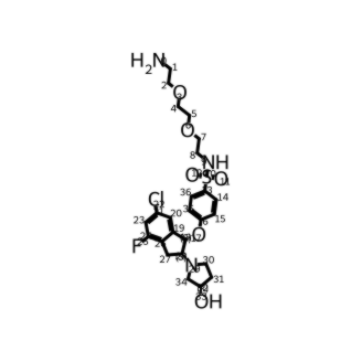 NCCOCCOCCNS(=O)(=O)c1ccc(O[C@H]2c3cc(Cl)cc(F)c3C[C@@H]2N2CC[C@@H](O)C2)cc1